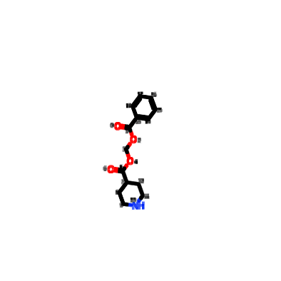 O=C(OCOC(=O)C1CCNCC1)c1ccccc1